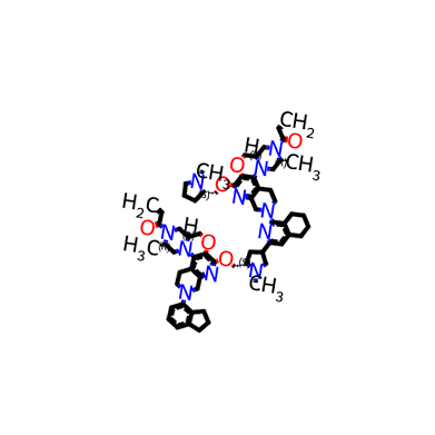 C=CC(=O)N1C[C@@H]2COc3c(OC[C@@H]4CC(c5cc6c(c(N7CCc8c(nc(OC[C@@H]9CCCN9C)c9c8N8C[C@@H](C)N(C(=O)C=C)C[C@@H]8CO9)C7)n5)CCCC6)CN4C)nc4c(c3N2C[C@H]1C)CCN(c1cccc2c1CCC2)C4